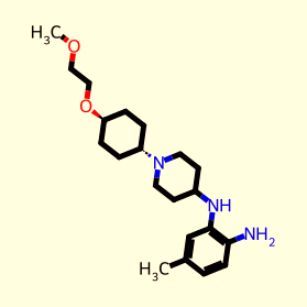 COCCO[C@H]1CC[C@H](N2CCC(Nc3cc(C)ccc3N)CC2)CC1